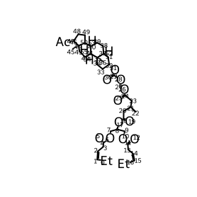 CC/C=C\CC(=O)OCC(COC(=O)C/C=C\CC)OC(=O)CC(C)CC(=O)OCOC(=O)O[C@@H]1CC[C@@]2(C)[C@@H](CC[C@@H]3[C@@H]2CC[C@]2(C)[C@@H](C(C)=O)CC[C@@H]32)C1